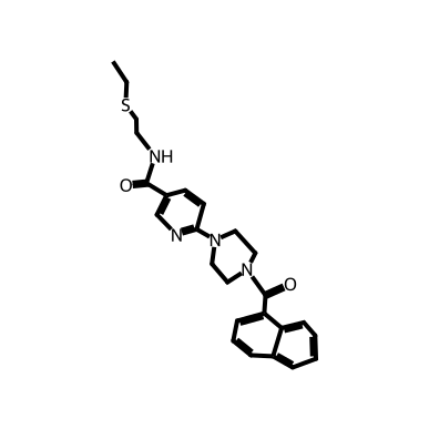 CCSCCNC(=O)c1ccc(N2CCN(C(=O)c3cccc4ccccc34)CC2)nc1